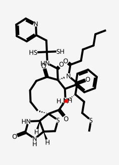 CCCCCC(=O)N(C(=O)[C@@H](N)CCSC)[C@@]1(C(=O)NC(S)(S)Cc2ccccn2)C(=O)CCCC[C@@]2(SC[C@@H]3NC(=O)N[C@@H]32)C(=O)NC1c1ccccc1